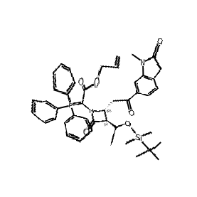 C=CCOC(=O)C(N1C(=O)[C@H](C(C)O[Si](C)(C)C(C)(C)C)[C@H]1CC(=O)c1ccc2c(c1)N(C)C(=O)C2)=P(c1ccccc1)(c1ccccc1)c1ccccc1